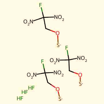 F.F.F.O=[N+]([O-])C(F)(CO[S])[N+](=O)[O-].O=[N+]([O-])C(F)(CO[S])[N+](=O)[O-].O=[N+]([O-])C(F)(CO[S])[N+](=O)[O-]